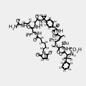 CC(=C[C@H](C(C)C)N(C)C(=O)[C@@H](NC(=O)C(N(C)C(=O)O)C(C)(C)c1ccccc1)C(C)(C)C)C(=O)NS(=O)(=O)c1ccc(C2(NC(=O)[C@@H](CCCNC(N)=O)NC(=O)[C@H](NC(=O)CCCCCN3C(=O)C=CC3=O)C(C)C)CC2)cc1